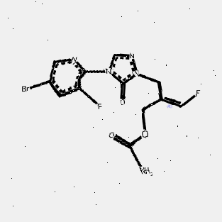 NC(=O)OC/C(=C/F)Cn1ncn(-c2ncc(Br)cc2F)c1=O